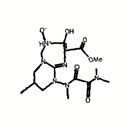 COC(=O)C1=C(O)[NH+]([O-])CN2CC(C)CN(N(C)C(=O)C(=O)N(C)C)C2=N1